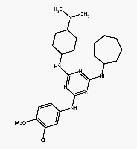 COc1ccc(Nc2nc(NC3CCCCCC3)nc(NC3CCC(N(C)C)CC3)n2)cc1Cl